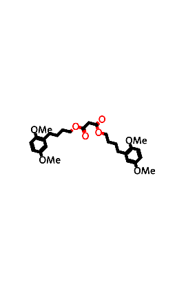 COc1ccc(OC)c(CCCCOC(=O)CC(=O)OCCCCc2cc(OC)ccc2OC)c1